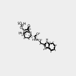 O=C(NOCc1nc2ccccc2[nH]1)[C@@H]1CC[C@@H]2CN1C(=O)N2OS(=O)(=O)O